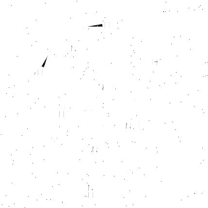 CC1(C)NC(=O)N(c2nc3ccccc3n([C@H]3C[C@H]4CCC[C@@H](C3)N4[C@@H]3C[C@@H]4CC5[C@@H](C4)C[C@H]5C3)c2=O)C1=O